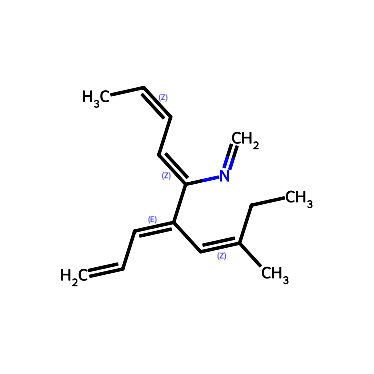 C=C/C=C(\C=C(\C)CC)C(=C/C=C\C)/N=C